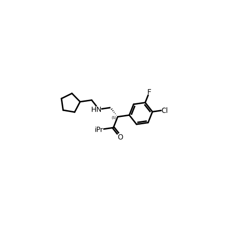 CC(C)C(=O)[C@H](CNCC1CCCC1)c1ccc(Cl)c(F)c1